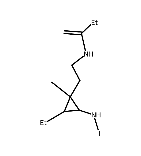 C=C(CC)NCCC1(C)C(CC)C1NI